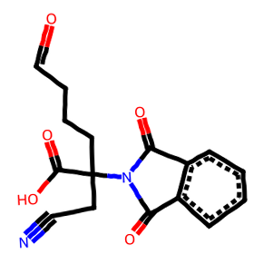 N#CCC(CCCC=O)(C(=O)O)N1C(=O)c2ccccc2C1=O